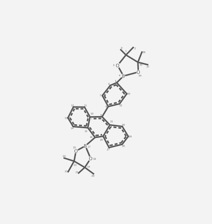 CC1(C)OB(c2ccc(-c3c4ccccc4c(B4OC(C)(C)C(C)(C)O4)c4ccccc34)cc2)OC1(C)C